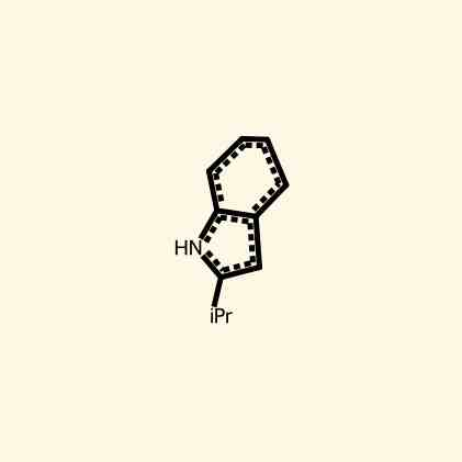 [CH2]C(C)c1cc2ccccc2[nH]1